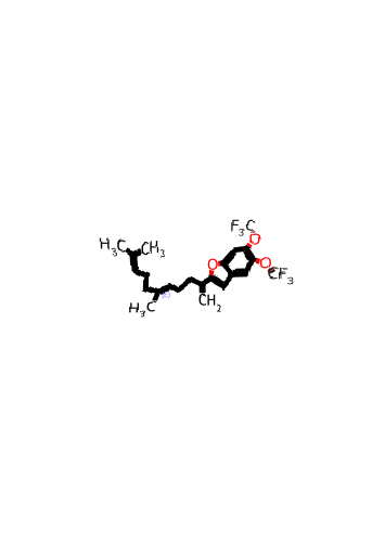 C=C(CC/C=C(\C)CCC=C(C)C)c1cc2cc(OC(F)(F)F)c(OC(F)(F)F)cc2o1